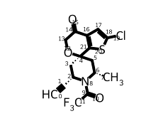 C#C[C@@H]1C[C@]2(C[C@H](C)N1C(=O)C(F)(F)F)OCC(=O)c1cc(Cl)sc12